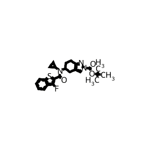 CC(C)(C)OC(=O)n1cc2c(n1)CCC(N(C(=O)c1sc3ccccc3c1F)C1CC1)C2